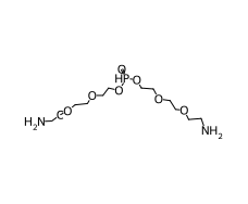 NCCOCCOCCO[PH](=O)OCCOCCOCCN